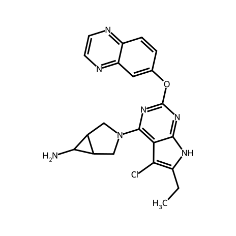 CCc1[nH]c2nc(Oc3ccc4nccnc4c3)nc(N3CC4C(N)C4C3)c2c1Cl